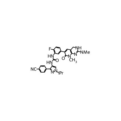 CNC1=Nc2c(cc(-c3ccc(F)c(NC(=O)Nc4cn(C(C)C)nc4-c4ccc(C#N)cc4)c3)c(=O)n2C)CN1